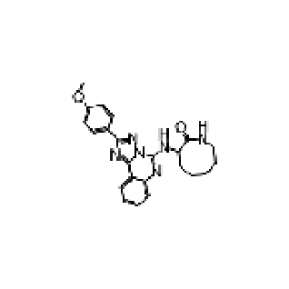 COc1ccc(-c2nc3c4ccccc4nc(NC4CCCCCNC4=O)n3n2)cc1